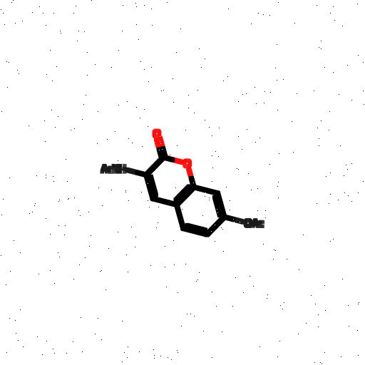 CC(=O)Nc1cc2ccc(OC(C)=O)cc2oc1=O